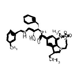 CCc1cn2c3c(cc(C(=O)N[C@@H](Cc4ccccc4)[C@H](O)CNCc4cccc(C)c4)cc13)N(C)S(=O)(=O)CC2